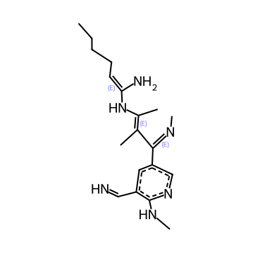 CCCC/C=C(\N)N/C(C)=C(C)/C(=N\C)c1cnc(NC)c(C=N)c1